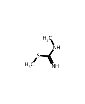 CNC(=N)SC